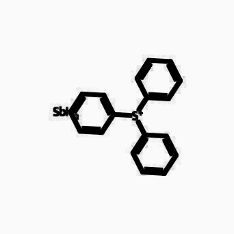 [SbH3].c1ccc([S+](c2ccccc2)c2ccccc2)cc1